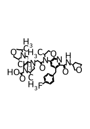 C[C@@H]1CN(CC(=O)N2c3cc(Cc4ccc(F)cc4)c(C(=O)N[C@H]4CCOC4)nc3OC[C@@H]2C)[C@@H](CN2[C@H](C)COC[C@H]2C)CN1C(=O)O